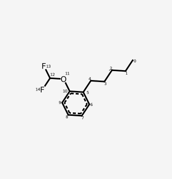 CC[CH]CCc1ccccc1OC(F)F